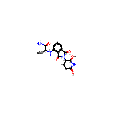 CCCCC(Nc1cccc2c1C(=O)N(C1CCC(=O)NC1=O)C2=O)C(N)=O